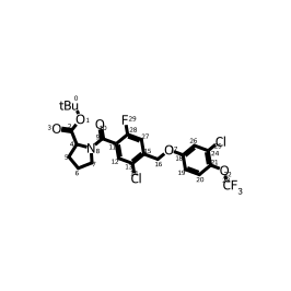 CC(C)(C)OC(=O)C1CCCN1C(=O)c1cc(Cl)c(COc2ccc(OC(F)(F)F)c(Cl)c2)cc1F